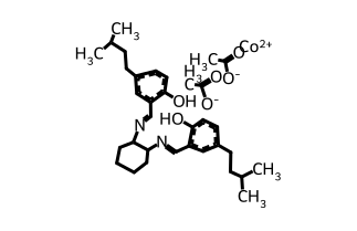 CC(=O)[O-].CC(=O)[O-].CC(C)CCc1ccc(O)c(C=NC2CCCCC2N=Cc2cc(CCC(C)C)ccc2O)c1.[Co+2]